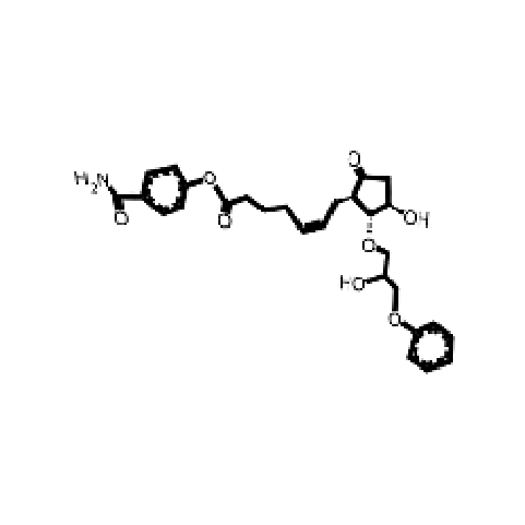 NC(=O)c1ccc(OC(=O)CCC/C=C\C[C@H]2C(=O)C[C@@H](O)[C@@H]2OCC(O)COc2ccccc2)cc1